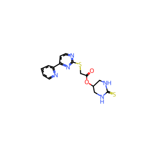 O=C(CSc1nccc(-c2ccccn2)n1)OC1CNC(=S)NC1